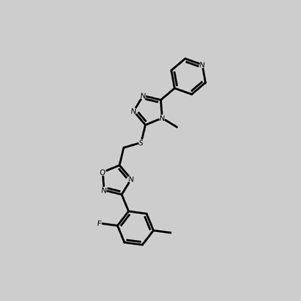 Cc1ccc(F)c(-c2noc(CSc3nnc(-c4ccncc4)n3C)n2)c1